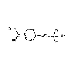 CC(C)S(C#Cc1ccc([C@@H](O)CO)cc1)(C(C)C)C(C)C